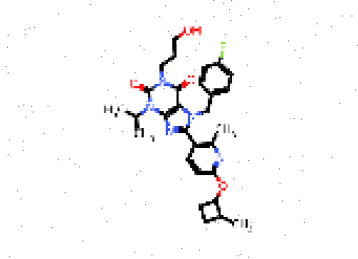 Cc1nc(OC2CCC2C)ccc1-c1nc2c(c(=O)n(CCCO)c(=O)n2C(C)C)n1Cc1ccc(F)cc1